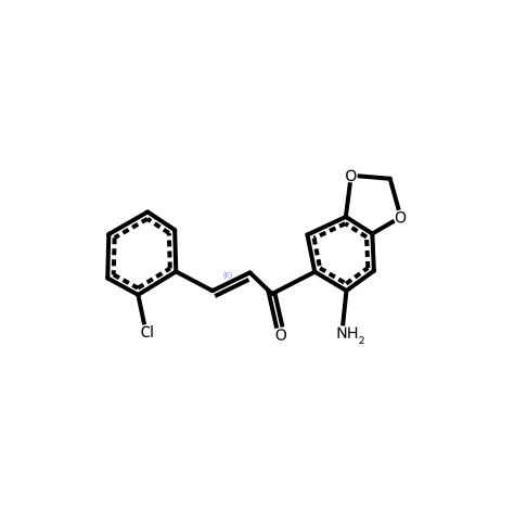 Nc1cc2c(cc1C(=O)/C=C/c1ccccc1Cl)OCO2